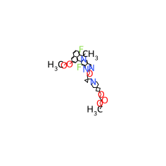 CCOC(=O)COC1CC2(CCN(CC3(COc4ncc5cnc(-c6cc(OCOC)cc7ccc(F)c(CC)c67)c(F)c5n4)CC3)CC2)C1